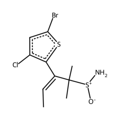 CC=C(c1sc(Br)cc1Cl)C(C)(C)[S+](N)[O-]